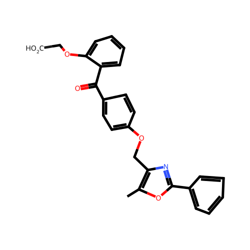 Cc1oc(-c2ccccc2)nc1COc1ccc(C(=O)c2ccccc2OCC(=O)O)cc1